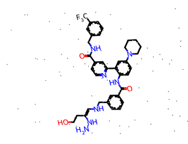 NN/C(=C\NCc1cccc(C(=O)Nc2ccc(N3CCCCC3)cc2-c2cc(C(=O)NCc3cccc(C(F)(F)F)c3)ccn2)c1)CCO